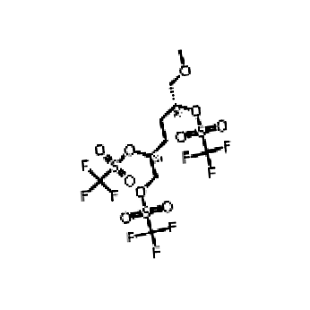 COC[C@@H](CC[C@@H](COS(=O)(=O)C(F)(F)F)OS(=O)(=O)C(F)(F)F)OS(=O)(=O)C(F)(F)F